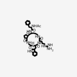 CC(=O)N[C@@H](Cc1ccccc1)C(=O)N[C@H]1CCCNC(=O)C(CCCNC(=N)N)NC(=O)C(Cc2c[nH]c3ccccc23)NC(=O)CNC(=O)C2CCCC2C1=O